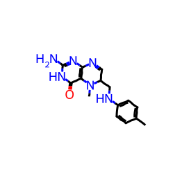 Cc1ccc(NCC2C=Nc3nc(N)[nH]c(=O)c3N2C)cc1